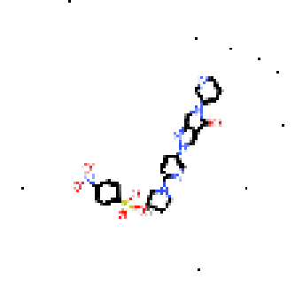 O=C1c2cn(-c3ccc(N4CC[C@H](OS(=O)(=O)c5ccc([N+](=O)[O-])cc5)C4)nc3)nc2CN1c1cccnc1